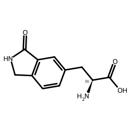 N[C@@H](Cc1ccc2c(c1)C(=O)NC2)C(=O)O